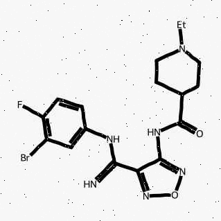 CCN1CCC(C(=O)Nc2nonc2C(=N)Nc2ccc(F)c(Br)c2)CC1